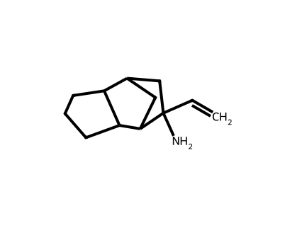 C=CC1(N)CC2CC1C1CCCC21